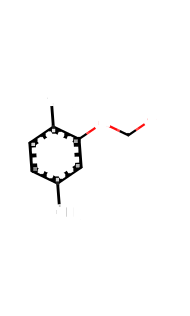 Cc1ccc(C)c(OC[O])c1